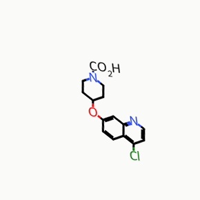 O=C(O)N1CCC(Oc2ccc3c(Cl)ccnc3c2)CC1